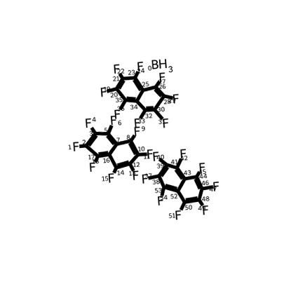 B.Fc1c(F)c(F)c2c(F)c(F)c(F)c(F)c2c1F.Fc1c(F)c(F)c2c(F)c(F)c(F)c(F)c2c1F.Fc1c(F)c(F)c2c(F)c(F)c(F)c(F)c2c1F